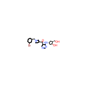 O=C(c1ccn(Cc2cccc(Br)c2)c1)c1cncnc1N[C@@H]1C[C@@H](CO)[C@@H](O)C1